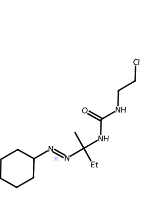 CCC(C)(/N=N/C1CCCCC1)NC(=O)NCCCl